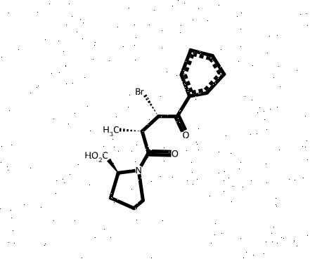 C[C@@H](C(=O)N1CCC[C@H]1C(=O)O)[C@H](Br)C(=O)c1ccccc1